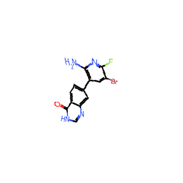 Nc1nc(F)c(Br)cc1-c1ccc2c(=O)[nH]cnc2c1